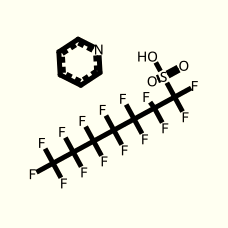 O=S(=O)(O)C(F)(F)C(F)(F)C(F)(F)C(F)(F)C(F)(F)C(F)(F)C(F)(F)F.c1ccncc1